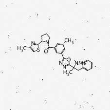 CNC(C)(Cc1ccccc1)c1nnc(-c2cc(C)cc(C(=O)N3CCCC3c3nc(C)cs3)c2)o1